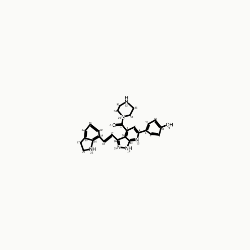 O=C(c1cc(-c2ccc(O)cc2)nc2[nH]nc(/C=C/c3cccc4c3NCC4)c12)N1CCNCC1